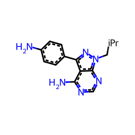 CC(C)Cn1nc(-c2ccc(N)cc2)c2c(N)ncnc21